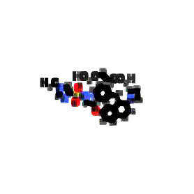 Cn1cnc(S(=O)(=O)NCCOc2ccc3c(c2)[C@@H](Cc2ccccc2)[C@@H](N2CCC2)CC3)c1.O=C(O)C=CC(=O)O